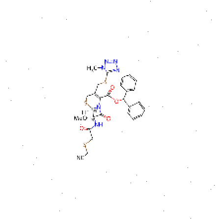 CO[C@@]1(NC(=O)CSCC#N)C(=O)N2C(C(=O)OC(c3ccccc3)c3ccccc3)=C(CSc3nnnn3C)CS[C@@H]21